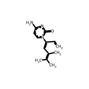 C=C/C(=C\C(C)=C(C)C)n1ccc(N)nc1=O